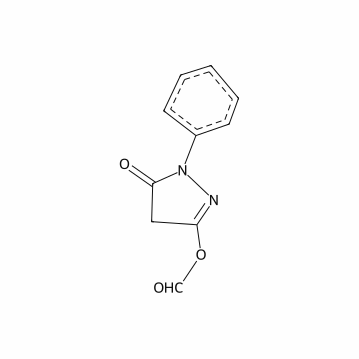 O=COC1=NN(c2ccccc2)C(=O)C1